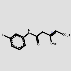 CC(=O)O/C(=C\C(=O)O)CC(=O)Nc1cccc(F)c1